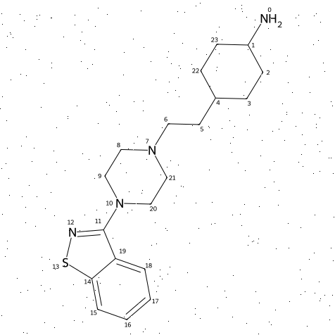 NC1CCC(CCN2CCN(c3nsc4ccccc34)CC2)CC1